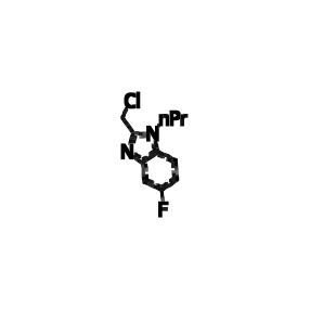 CCCn1c(CCl)nc2cc(F)ccc21